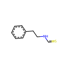 S=CNCCc1ccccc1